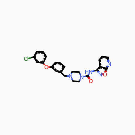 O=C(Nc1noc2ncccc12)N1CCN(Cc2cccc(Oc3cccc(Cl)c3)c2)CC1